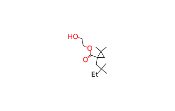 CCC(C)(C)CC1(C(=O)OCCO)CC1(C)C